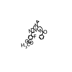 CS(=O)(=O)c1ccc(-c2cnc(CN(C3CC3)C3CCN(C(=O)c4ccccc4)CC3)cn2)c(F)c1